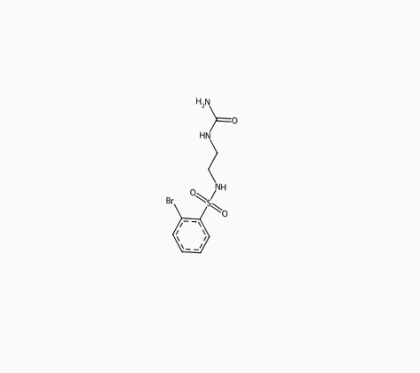 NC(=O)NCCNS(=O)(=O)c1ccccc1Br